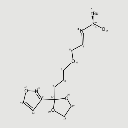 CC(C)(C)[S@@+]([O-])/N=C/COCCCC1(c2ccon2)OCCO1